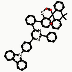 CC1(C)c2ccccc2C2(c3ccccc3Sc3c(-c4ccccc4-c4cc(-c5ccc(-n6c7ccccc7c7ccccc76)cc5)nc(-c5ccccc5)n4)cccc32)c2ccccc21